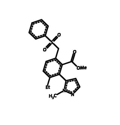 CCc1ccc(CS(=O)(=O)c2ccccc2)c(C(=O)OC)c1-c1ccnn1C